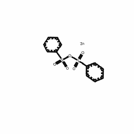 O=S(=O)(OS(=O)(=O)c1ccccc1)c1ccccc1.[Zn]